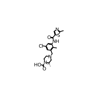 Cc1ncc(C(=O)Nc2cc(Cl)cc(CN3CCN(C(=O)O)[C@@H](C)C3)c2C)s1